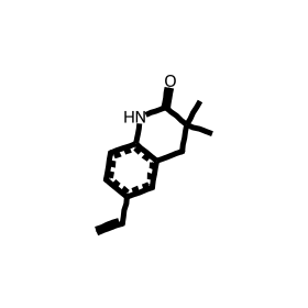 C=Cc1ccc2c(c1)CC(C)(C)C(=O)N2